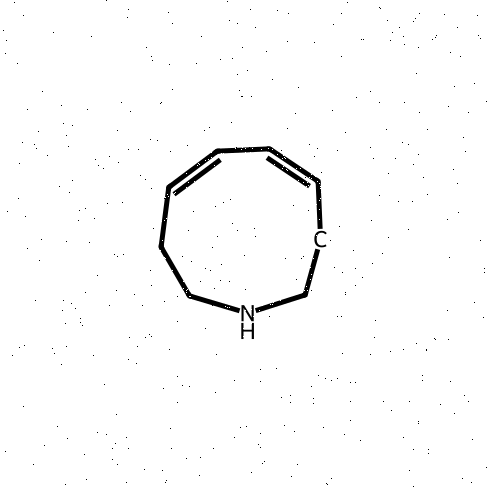 C1=CCCNCCC=C1